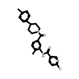 Cc1ccc(C2CCN(C(=O)c3ccc(C)c(NC(=O)c4ccc(Cl)nc4)c3)CC2)cc1